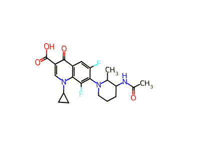 CC(=O)NC1CCCN(c2c(F)cc3c(=O)c(C(=O)O)cn(C4CC4)c3c2F)C1C